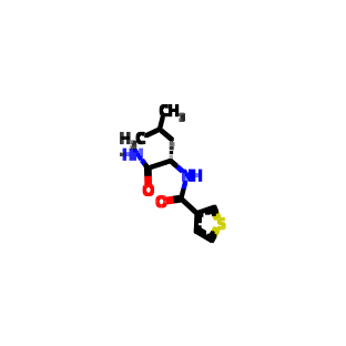 CC(C)C[C@H](NC(=O)c1ccsc1)C([NH])=O